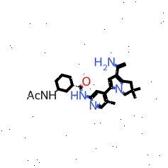 C=C(N)c1cc(-c2cc(NC(=O)[C@H]3CCC[C@@H](NC(C)=O)C3)ncc2C)n2c1CC(C)(C)C2